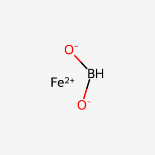 [Fe+2].[O-]B[O-]